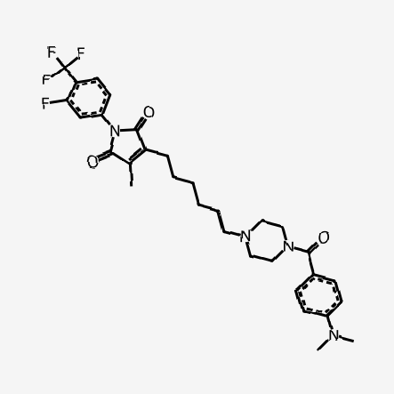 CC1=C(CCCCCCN2CCN(C(=O)c3ccc(N(C)C)cc3)CC2)C(=O)N(c2ccc(C(F)(F)F)c(F)c2)C1=O